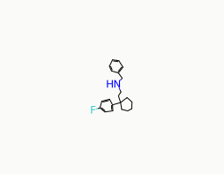 Fc1ccc(C2(CCNCc3ccccc3)CCCCC2)cc1